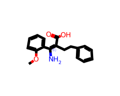 COc1ccccc1/C(N)=C(/CCc1ccccc1)C(=O)O